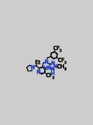 CCC(c1ncc(C(F)(F)F)cc1CN(Cc1cc(C(F)(F)F)cc(C(F)(F)F)c1)C1=NN(C)NN1)N1CCCC1